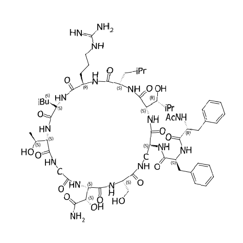 CC[C@H](C)[C@@H]1NC(=O)[C@@H](CCCNC(=N)N)NC(=O)[C@H](CC(C)C)NC(=O)[C@H]([C@H](O)C(C)C)NC(=O)[C@@H](NC(=O)[C@H](Cc2ccccc2)NC(=O)[C@@H](Cc2ccccc2)NC(C)=O)CNC(=O)[C@H](CO)NC(=O)[C@H]([C@H](O)C(N)=O)NC(=O)CNC(=O)[C@H]([C@H](C)O)NC1=O